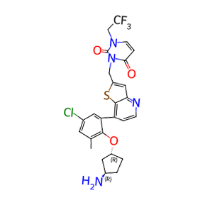 Cc1cc(Cl)cc(-c2ccnc3cc(Cn4c(=O)ccn(CC(F)(F)F)c4=O)sc23)c1O[C@@H]1CC[C@@H](N)C1